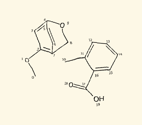 COc1cc2ccc1CO2.Cc1ccccc1C(=O)O